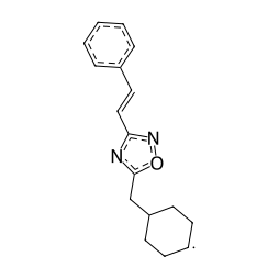 [CH]1CCC(Cc2nc(C=Cc3ccccc3)no2)CC1